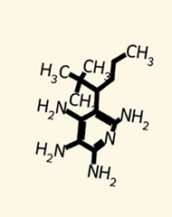 CCCC(c1c(N)nc(N)c(N)c1N)C(C)(C)C